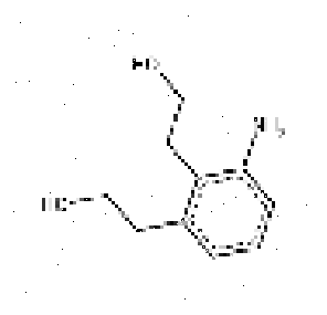 Nc1cccc(CCO)c1CCO